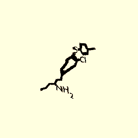 CCCC(N)CCc1ccc(Sc2ccc(C)cc2)c(Cl)c1